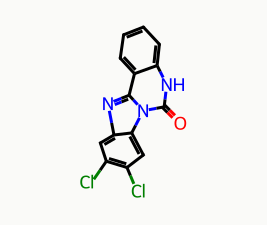 O=c1[nH]c2ccccc2c2nc3cc(Cl)c(Cl)cc3n12